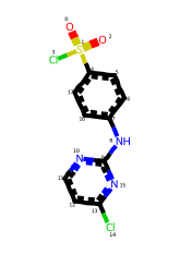 O=S(=O)(Cl)c1ccc(Nc2nccc(Cl)n2)cc1